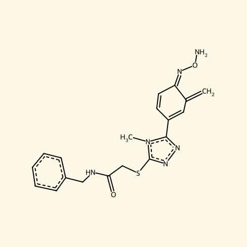 C=C1C=C(c2nnc(SCC(=O)NCc3ccccc3)n2C)C=C/C1=N/ON